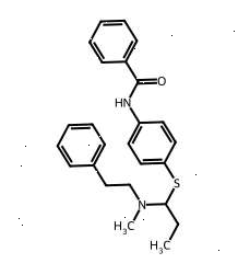 CCC(Sc1ccc(NC(=O)c2ccccc2)cc1)N(C)CCc1ccccc1